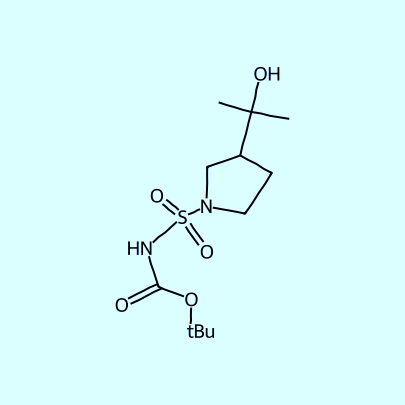 CC(C)(C)OC(=O)NS(=O)(=O)N1CCC(C(C)(C)O)C1